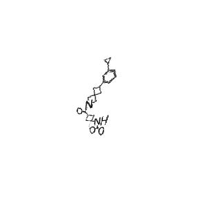 O=C1N[C@]2(CO1)C[C@H](C(=O)N1CC3(CC(c4cccc(C5CC5)c4)C3)C1)C2